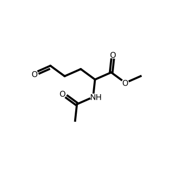 COC(=O)C(CCC=O)NC(C)=O